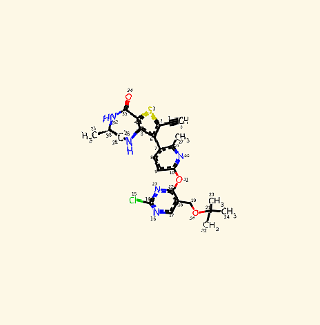 C#Cc1sc2c(c1-c1ccc(Oc3nc(Cl)ncc3COC(C)(C)C)nc1C)NC[C@@H](C)NC2=O